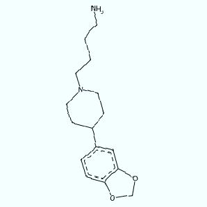 NCCCCN1CCC(c2ccc3c(c2)OCO3)CC1